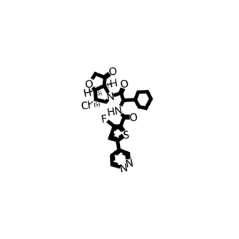 O=C(NC(C(=O)N1C[C@H](Cl)[C@H]2OCC(=O)[C@H]21)C1CCCCC1)c1sc(-c2ccnnc2)cc1F